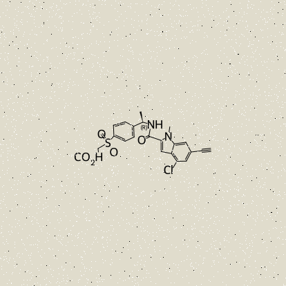 C#Cc1cc(Cl)c2cc(C(=O)N[C@H](C)c3ccc(S(=O)(=O)CC(=O)O)cc3)n(C)c2c1